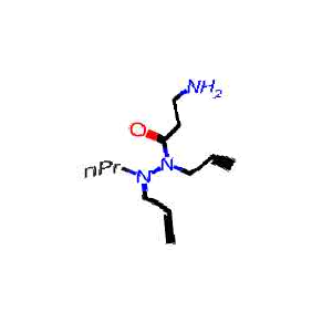 C=CCN(CCC)N(CC=C)C(=O)CCN